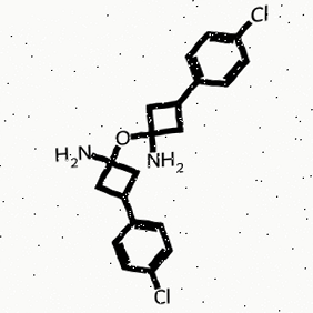 NC1(OC2(N)CC(c3ccc(Cl)cc3)C2)CC(c2ccc(Cl)cc2)C1